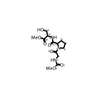 COC(=O)NCC(=O)N1CCCC1C(=O)NC(CO)C(=O)OC